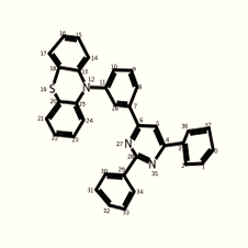 c1ccc(-c2cc(-c3cccc(N4c5ccccc5Sc5ccccc54)c3)nc(-c3ccccc3)n2)cc1